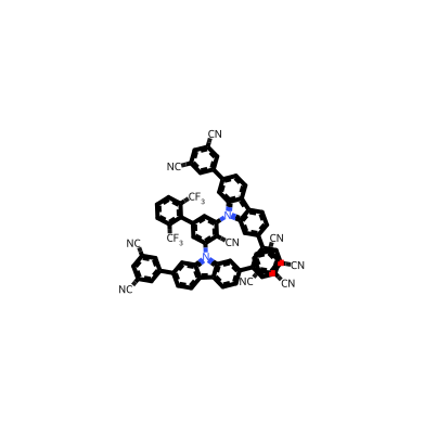 N#Cc1cc(C#N)cc(-c2ccc3c4ccc(-c5cc(C#N)cc(C#N)c5)cc4n(-c4cc(-c5c(C(F)(F)F)cccc5C(F)(F)F)cc(-n5c6cc(-c7cc(C#N)cc(C#N)c7)ccc6c6ccc(-c7cc(C#N)cc(C#N)c7)cc65)c4C#N)c3c2)c1